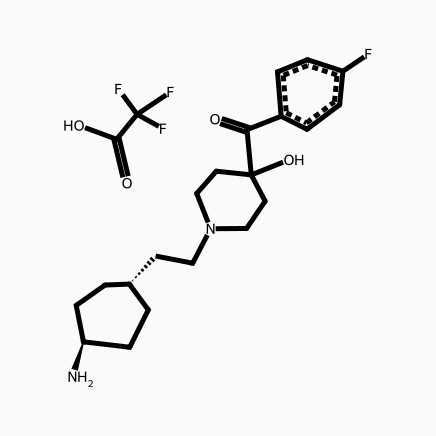 N[C@H]1CC[C@H](CCN2CCC(O)(C(=O)c3ccc(F)cc3)CC2)CC1.O=C(O)C(F)(F)F